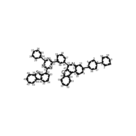 c1ccc(-c2ccc(-c3ccc4c(c3)nc(-c3cccc(-c5nc(-c6ccccc6)nc(-c6cccc7c6sc6ccccc67)n5)c3)c3oc5ccccc5c34)cc2)cc1